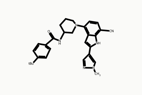 Cn1cc(-c2cc3c(N4CCCC(NC(=O)c5ccc(C(C)(C)C)cc5)C4)ccc(C#N)c3[nH]2)cn1